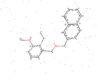 CCc1c(COCc2ccc3ccccc3c2)cccc1OC